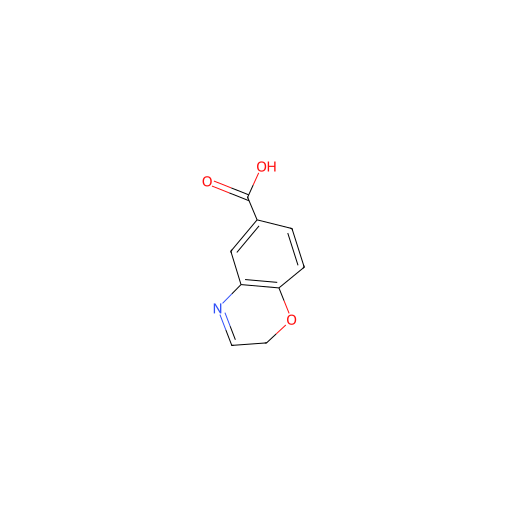 O=C(O)c1ccc2c(c1)N=CCO2